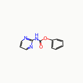 O=C(Nc1ncccn1)Oc1ccccc1